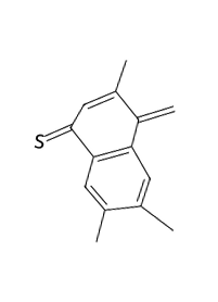 C=C1C(C)=CC(=S)c2cc(C)c(C)cc21